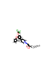 COC(=O)CN1CCC(C#N)(c2ccc(OC(F)F)c(OC3CCCC3)c2)CC1